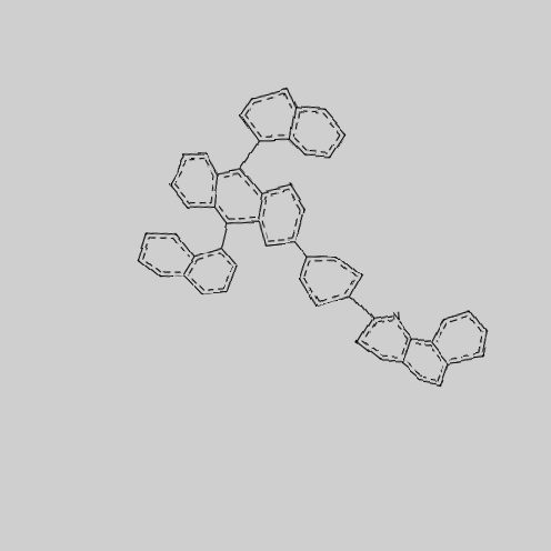 c1ccc2c(-c3c4ccccc4c(-c4cccc5ccccc45)c4cc(-c5ccc(-c6ccc7ccc8ccccc8c7n6)cc5)ccc34)cccc2c1